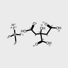 F[B-](F)(F)F.O=C(O)CC(O)(CC(=O)O)C(=O)O.[H+]